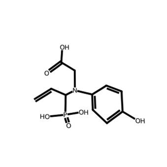 C=CC(N(CC(=O)O)c1ccc(O)cc1)P(=O)(O)O